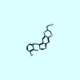 OCC1COc2cc3ncnc(Nc4cccc(Br)c4F)c3cc2O1